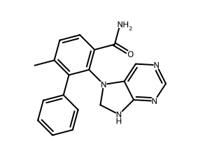 Cc1ccc(C(N)=O)c(N2CNc3ncncc32)c1-c1ccccc1